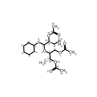 CC(=O)OCC(OC(SC1CCCCC1)[C@H](CN)OC(C)=O)[C@@H](C)OC(C)=O